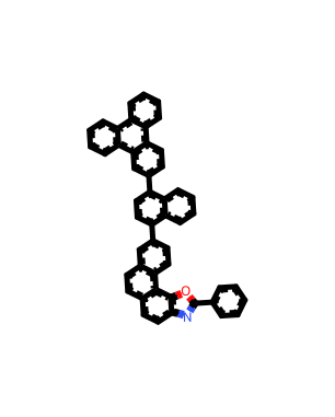 c1ccc(-c2nc3ccc4ccc5cc(-c6ccc(-c7ccc8c9ccccc9c9ccccc9c8c7)c7ccccc67)ccc5c4c3o2)cc1